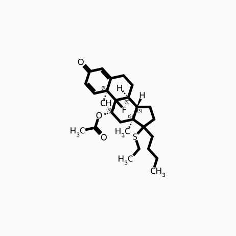 CCCCC1(SCC)CC[C@H]2[C@@H]3CCC4=CC(=O)C=C[C@]4(C)C3(F)[C@@H](OC(C)=O)C[C@@]21C